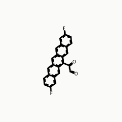 O=CC(=O)c1c2cc3ccc(F)cc3cc2cc2cc3ccc(F)cc3cc12